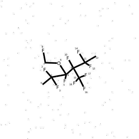 CC(F)(F)C(F)(OCF)C(F)(C(C)(F)F)C(F)(F)F